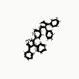 c1ccc(-c2c[nH]c(-c3ccc(-c4scc(-c5ccccc5)c4-c4ccccc4)cn3)c2-c2ccccc2)cc1